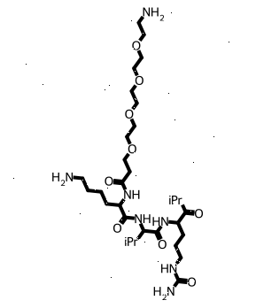 CC(C)C(=O)C(CCCNC(N)=O)NC(=O)C(NC(=O)C(CCCCN)NC(=O)CCOCCOCCOCCOCCN)C(C)C